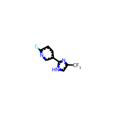 Fc1ccc(-c2nc(C(F)(F)F)c[nH]2)cn1